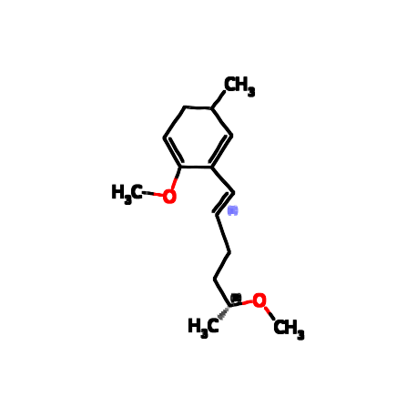 COC1=CCC(C)C=C1/C=C/CC[C@@H](C)OC